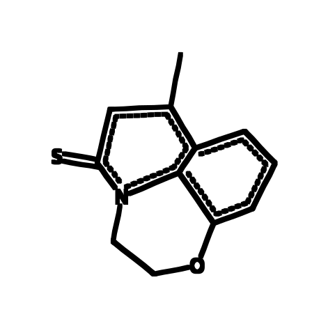 Cc1cc(=S)n2c3c(cccc13)OCC2